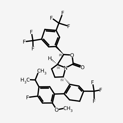 COc1cc(F)c(C(C)C)cc1C1=C([C@@H]2CC[C@H]3[C@@H](c4cc(C(F)(F)F)cc(C(F)(F)F)c4)OC(=O)N23)C=C(C(F)(F)F)CC1